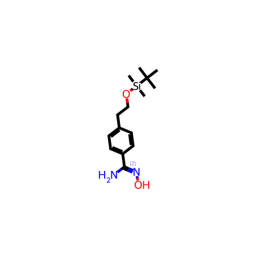 CC(C)(C)[Si](C)(C)OCCc1ccc(/C(N)=N/O)cc1